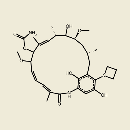 COC1/C=C\C=C(/C)C(=O)Nc2cc(O)c(N3CCC3)c(c2O)C[C@@H](C)C[C@H](OC)C(O)[C@@H](C)/C=C(\C)C1OC(N)=O